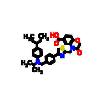 CCC(CC)c1ccc(N(Cc2ccc(-c3csc(CN4C(=O)COc5ccc(C(=O)O)cc54)n3)cc2)C(C)C)cc1